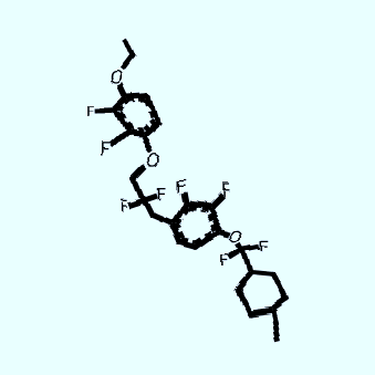 CCOc1ccc(OCC(F)(F)Cc2ccc(OC(F)(F)C3CCC(C)CC3)c(F)c2F)c(F)c1F